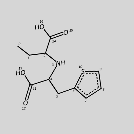 CCC(NC(Cc1cccs1)C(=O)O)C(=O)O